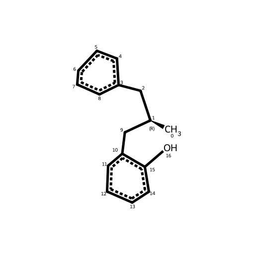 C[C@H](Cc1ccccc1)Cc1ccccc1O